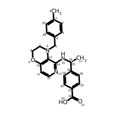 Cc1ccc(CN2CCOc3ccnc(N[C@@H](C)c4ccc(C(=O)O)cc4)c32)cc1